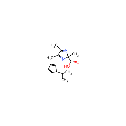 CC(C)C1C=CC=C1.CC1=NC(C)(C(=O)O)N=C1C